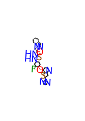 Cn1ccnc1-c1cc2nccc(Oc3ccc(NC(=S)NC(=O)CN4N=CC5C=CC=CC54)cc3F)c2s1